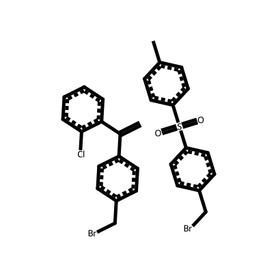 C=C(c1ccc(CBr)cc1)c1ccccc1Cl.Cc1ccc(S(=O)(=O)c2ccc(CBr)cc2)cc1